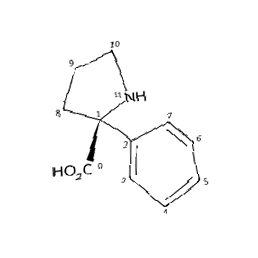 O=C(O)[C@@]1(c2ccccc2)CCCN1